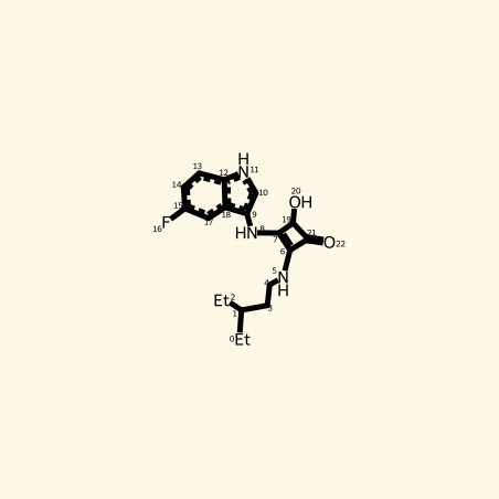 CCC(CC)CCNC1=C(Nc2c[nH]c3ccc(F)cc23)C(O)C1=O